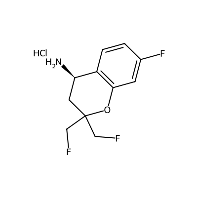 Cl.N[C@@H]1CC(CF)(CF)Oc2cc(F)ccc21